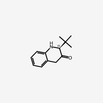 CC(C)(C)[C@@H]1Nc2ccccc2CC1=O